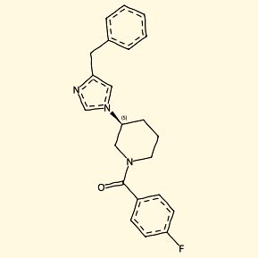 O=C(c1ccc(F)cc1)N1CCC[C@H](n2cnc(Cc3ccccc3)c2)C1